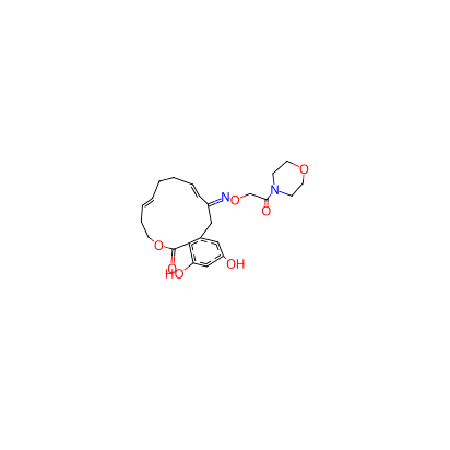 O=C1OCC/C=C/CC/C=C/C(=N/OCC(=O)N2CCOCC2)Cc2cc(O)cc(O)c21